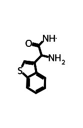 [NH]C(=O)C(N)c1csc2ccccc12